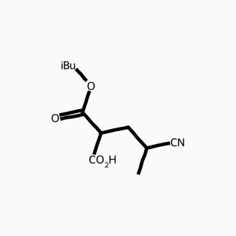 CCC(C)OC(=O)C(CC(C)C#N)C(=O)O